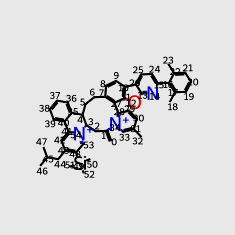 C=C1CC2C(CCc3ccc4c(oc5nc(-c6c(C)cccc6C)ccc54)c3-c3ccc(C)c[n+]31)c1ccccc1-c1cc(CC(C)C)c([Si](C)(C)C)c[n+]12